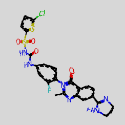 Cc1nc2cc(C3=NCCN3)ccc2c(=O)n1-c1ccc(NC(=O)NS(=O)(=O)c2ccc(Cl)s2)cc1F